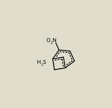 O=[N+]([O-])c1ccc2cc1C2.S